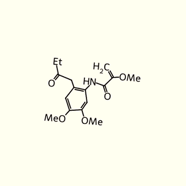 C=C(OC)C(=O)Nc1cc(OC)c(OC)cc1CC(=O)CC